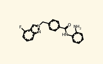 Nc1ccccc1NC(=O)c1ccc(Cn2cc3c(F)cccc3n2)cc1